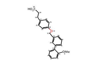 COc1ccccc1-c1cccc(COc2ccc(CCC(=O)O)cc2)c1